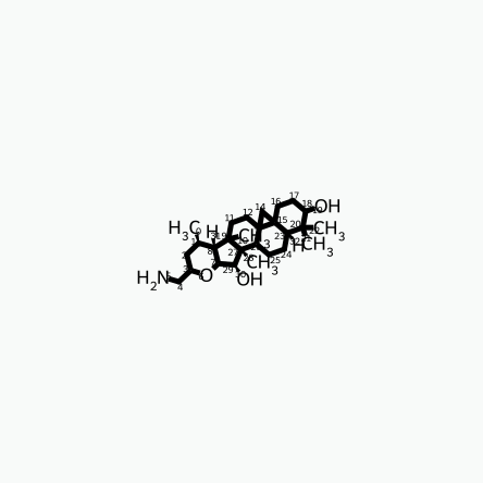 C[C@@H]1CC(CN)OC2[C@H]1C1(C)CCC34CC35CCC(O)C(C)(C)[C@@H]5CCC4[C@]1(C)[C@H]2O